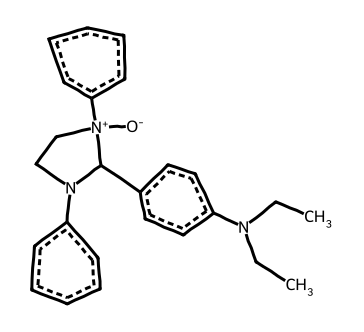 CCN(CC)c1ccc(C2N(c3ccccc3)CC[N+]2([O-])c2ccccc2)cc1